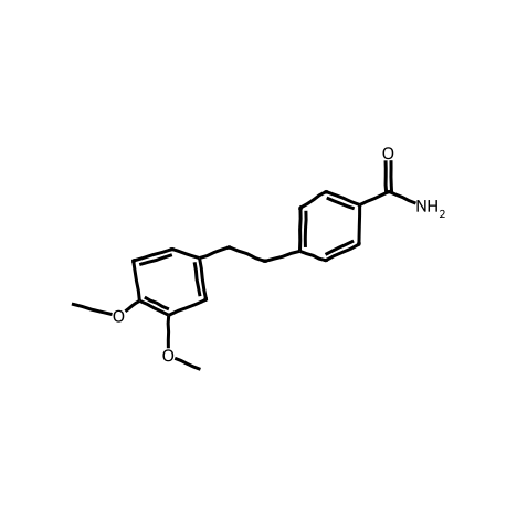 COc1ccc(CCc2ccc(C(N)=O)cc2)cc1OC